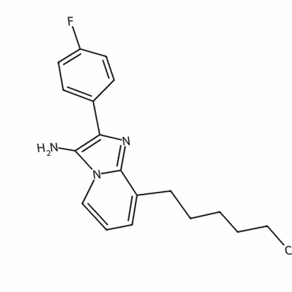 CCCCCCc1cccn2c(N)c(-c3ccc(F)cc3)nc12